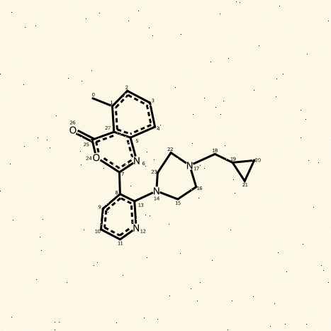 Cc1cccc2nc(-c3cccnc3N3CCN(CC4CC4)CC3)oc(=O)c12